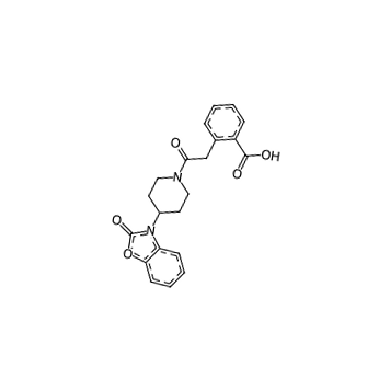 O=C(O)c1ccccc1CC(=O)N1CCC(n2c(=O)oc3ccccc32)CC1